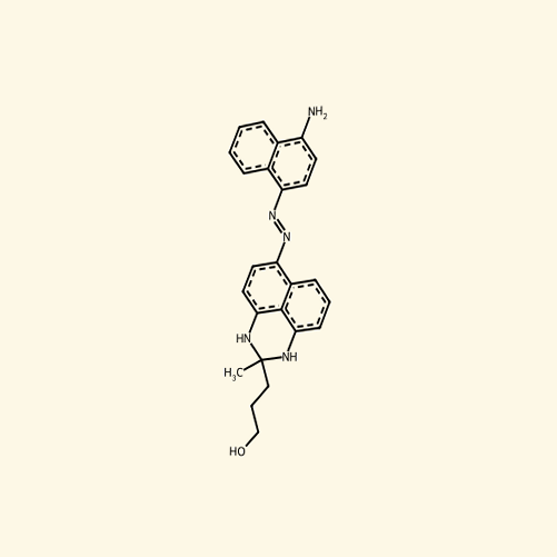 CC1(CCCO)Nc2cccc3c(/N=N/c4ccc(N)c5ccccc45)ccc(c23)N1